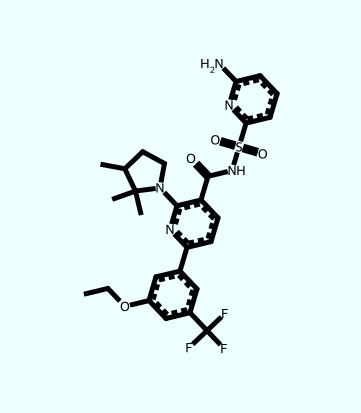 CCOc1cc(-c2ccc(C(=O)NS(=O)(=O)c3cccc(N)n3)c(N3CCC(C)C3(C)C)n2)cc(C(F)(F)F)c1